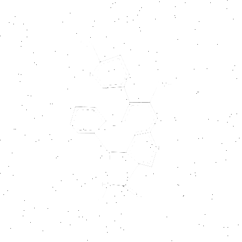 COc1cc2ncc(C(=O)NC(C)(C)C)c(Nc3ccccc3)c2cc1-c1ccc(C(=O)O)nc1